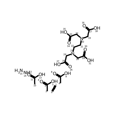 C=C.CC(=O)O.CC(=O)O.CC(=O)O.N.N.O=C(O)CN(CCN(CC(=O)O)CC(=O)O)CC(=O)O